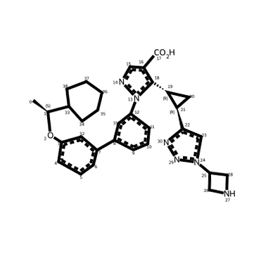 C[C@H](Oc1cccc(-c2cccc(-n3ncc(C(=O)O)c3[C@@H]3C[C@H]3c3cn(C4CNC4)nn3)c2)c1)C1CCCCC1